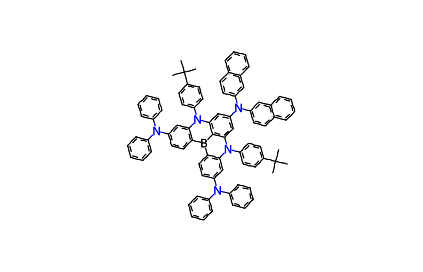 CC(C)(C)c1ccc(N2c3cc(N(c4ccccc4)c4ccccc4)ccc3B3c4ccc(N(c5ccccc5)c5ccccc5)cc4N(c4ccc(C(C)(C)C)cc4)c4cc(N(c5ccc6ccccc6c5)c5ccc6ccccc6c5)cc2c43)cc1